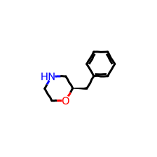 c1ccc(C[C@@H]2CNCCO2)cc1